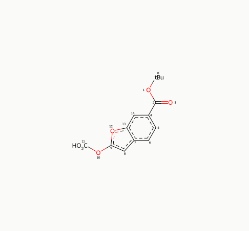 CC(C)(C)OC(=O)c1ccc2cc(OC(=O)O)oc2c1